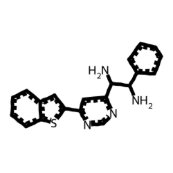 NC(c1ccccc1)C(N)c1cc(-c2cc3ccccc3s2)ncn1